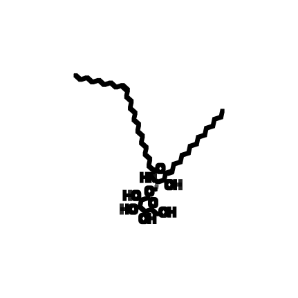 CCCCCCCC/C=C\CCCCCCCCCCCCCC(=O)N[C@@H](COC1OC(CO)C(O)C(O)C1O)C(O)/C=C/CCCCCCCCCCCCC